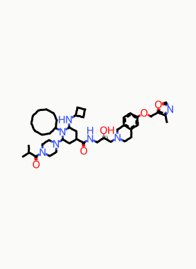 Cc1ncoc1COc1ccc2c(c1)CCN(C[C@@H](O)CNC(=O)C1CC(NC3CCC3)N(C3CCCCCCCCC3)C(N3CCN(C(=O)C(C)C)CC3)C1)C2